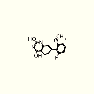 COc1cccc(F)c1C1=Cc2nc(O)nc(O)c2CC1